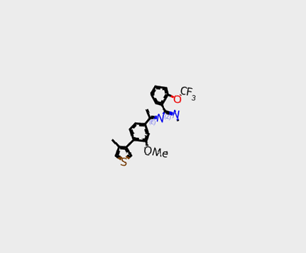 C/N=C(\N=C(/C)c1ccc(-c2cscc2C)c(OC)c1)c1ccccc1OC(F)(F)F